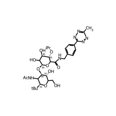 CC(=O)NC1[C@@H](O[C@@H]2OC(C(=O)NCc3ccc(-c4nnc(C)nn4)cc3)[C@@H](OC(C)C)[C@H](O)C2O)[C@H](O)C(CO)O[C@H]1C(C)(C)C